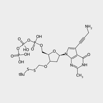 Cc1nc2c(c(C#CCN)cn2[C@H]2CC(OCSSC(C)(C)C)[C@@H](COP(=O)(O)OP(=O)(O)OP(=O)(O)O)O2)c(=O)[nH]1